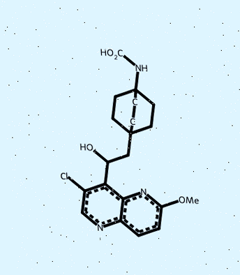 COc1ccc2ncc(Cl)c(C(O)CC34CCC(NC(=O)O)(CC3)CC4)c2n1